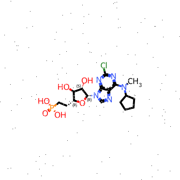 CN(c1nc(Cl)nc2c1ncn2[C@@H]1O[C@H](CCP(=O)(O)O)C(O)[C@@H]1O)C1CCCC1